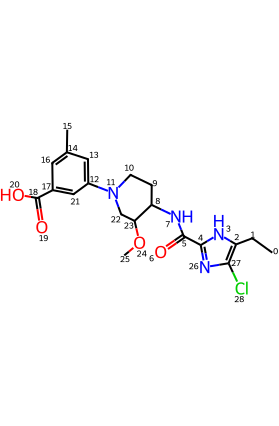 CCc1[nH]c(C(=O)NC2CCN(c3cc(C)cc(C(=O)O)c3)CC2OC)nc1Cl